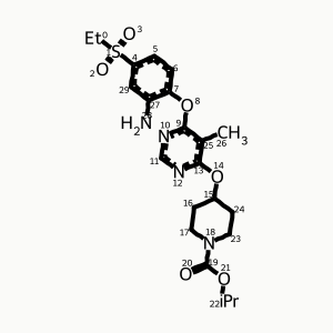 CCS(=O)(=O)c1ccc(Oc2ncnc(OC3CCN(C(=O)OC(C)C)CC3)c2C)c(N)c1